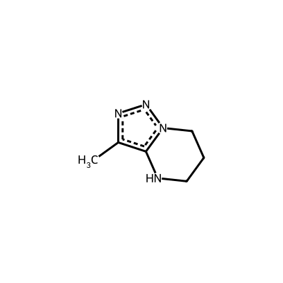 Cc1nnn2c1NCCC2